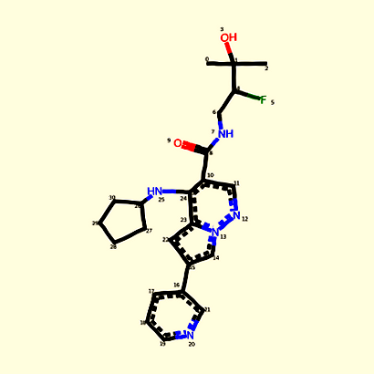 CC(C)(O)C(F)CNC(=O)c1cnn2cc(-c3cccnc3)cc2c1NC1CCCC1